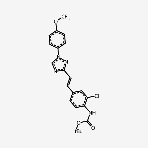 CC(C)(C)OC(=O)Nc1ccc(C=Cc2ncn(-c3ccc(OC(F)(F)F)cc3)n2)cc1Cl